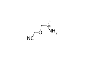 C[C@H](N)COCC#N